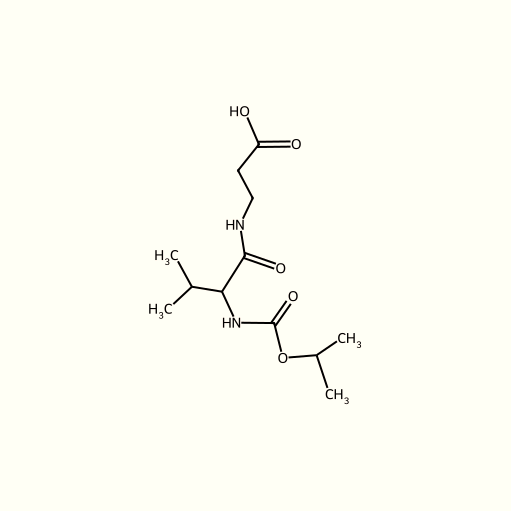 CC(C)OC(=O)NC(C(=O)NCCC(=O)O)C(C)C